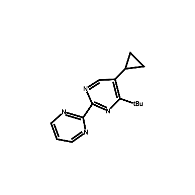 CC(C)(C)c1nc(-c2ncccn2)ncc1C1CC1